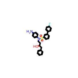 Nc1ccc(N(CCC(O)Cc2ccccc2)S(=O)(=O)c2cccc(-c3ccc(F)cc3)c2)cc1